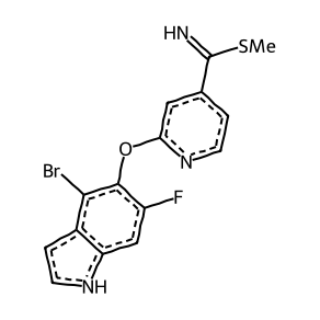 CSC(=N)c1ccnc(Oc2c(F)cc3[nH]ccc3c2Br)c1